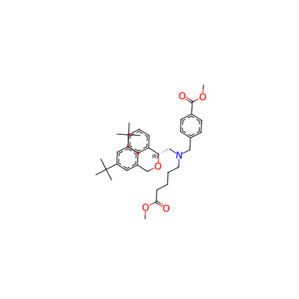 COC(=O)CCCCN(Cc1ccc(C(=O)OC)cc1)C[C@H](OCc1cc(C(C)(C)C)cc(C(C)(C)C)c1)c1ccccc1